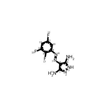 Nc1n[nH]c(N)c1N=Nc1cc(F)cc(F)c1F